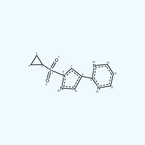 O=S(=O)(C1CC1)n1cc(-c2n[c]ccn2)cn1